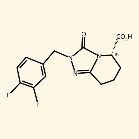 O=C(O)[C@@H]1CCCc2nn(Cc3ccc(F)c(F)c3)c(=O)n21